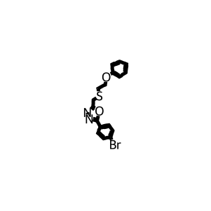 Brc1ccc(-c2nnc(CSCCOc3ccccc3)o2)cc1